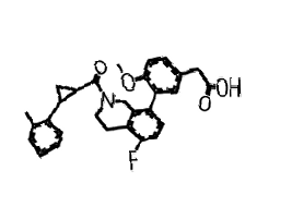 COc1ccc(CC(=O)O)cc1-c1ccc(F)c2c1CN(C(=O)C1CC1c1ccccc1C)CC2